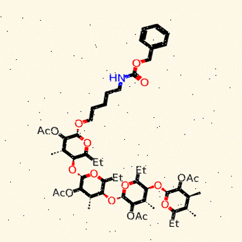 CCC1O[C@@H](O[C@@H]2C(CC)O[C@@H](O[C@@H]3C(CC)O[C@@H](O[C@@H]4C(CC)O[C@@H](OCCCCCNC(=O)OCc5ccccc5)C(OC(C)=O)[C@H]4C)C(OC(C)=O)[C@H]3C)C(OC(C)=O)[C@H]2C)C(OC(C)=O)[C@@H](C)[C@@H]1C